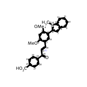 COc1cc(OC)c(-c2cc3ccccc3n2C)cc1/C=C/C(=O)c1ccc(C(=O)O)cc1